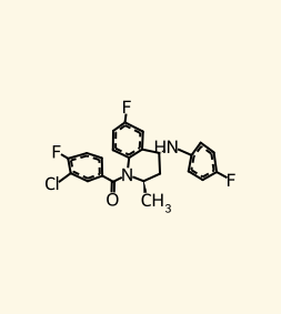 C[C@@H]1C[C@@H](Nc2ccc(F)cc2)c2cc(F)ccc2N1C(=O)c1ccc(F)c(Cl)c1